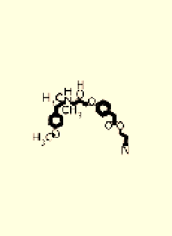 COc1ccc(CC(C)(C)NC[C@@H](O)COc2ccc(CC(=O)OCCC#N)cc2)cc1